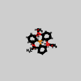 COc1cccc(C=O)c1P(c1c(OC)cccc1OC)c1c(OC)cccc1OC